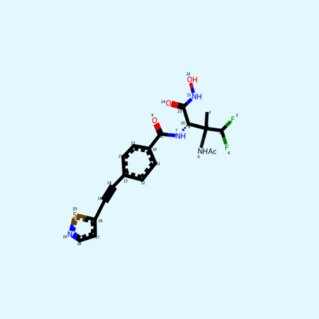 CC(=O)NC(C)(C(F)F)[C@H](NC(=O)c1ccc(C#Cc2ccns2)cc1)C(=O)NO